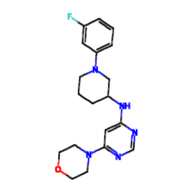 Fc1cccc(N2CCCC(Nc3cc(N4CCOCC4)ncn3)C2)c1